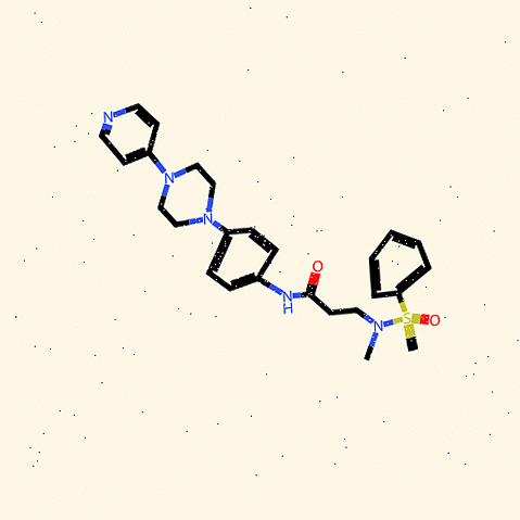 C=S(=O)(c1ccccc1)N(C)CCC(=O)Nc1ccc(N2CCN(c3ccncc3)CC2)cc1